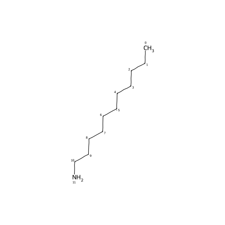 CCCCC[CH]CCCCCN